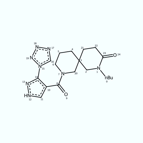 CCCCN1CC2(CCCN(C(=O)c3c[nH]nc3-n3cnnn3)C2)CCC1=O